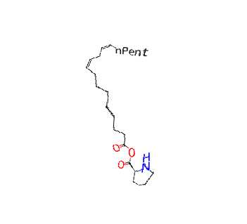 CCCCC/C=C\C/C=C\CCCCCCCC(=O)OC(=O)[C@@H]1CCCN1